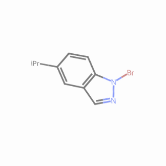 CC(C)c1ccc2c(cnn2Br)c1